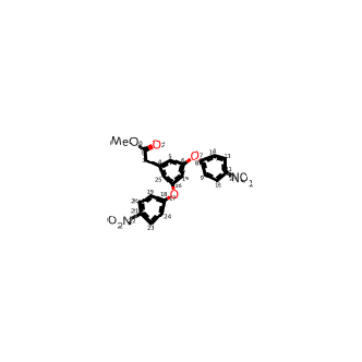 COC(=O)Cc1cc(Oc2ccc([N+](=O)[O-])cc2)cc(Oc2ccc([N+](=O)[O-])cc2)c1